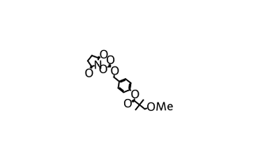 COCC(C)(C)C(=O)Oc1ccc(COC(=O)ON2C(=O)CCC2=O)cc1